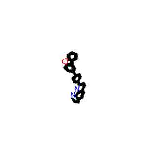 c1cnc2c(c1)ccc1ccc(-c3ccc(-c4ccc5oc6ccccc6c5c4)cc3)nc12